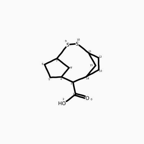 O=C(O)C1C2CCC(C2)SSC2CCC1C2